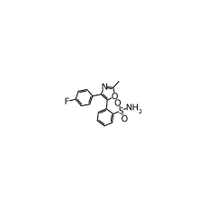 Cc1nc(-c2ccc(F)cc2)c(-c2ccccc2S(N)(=O)=O)o1